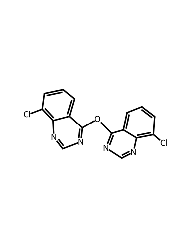 Clc1cccc2c(Oc3ncnc4c(Cl)cccc34)ncnc12